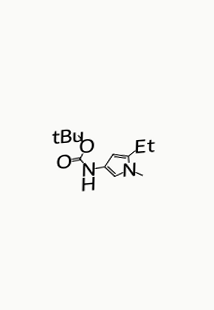 CCc1cc(NC(=O)OC(C)(C)C)cn1C